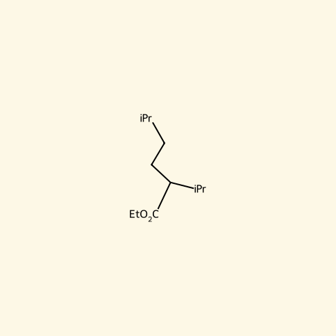 CCOC(=O)C(CCC(C)C)C(C)C